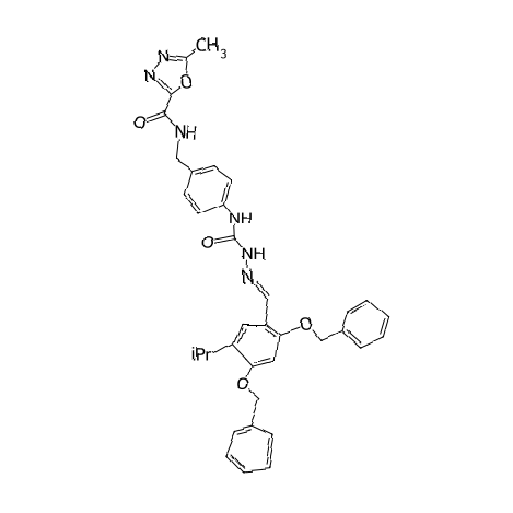 Cc1nnc(C(=O)NCc2ccc(NC(=O)NN=Cc3cc(C(C)C)c(OCc4ccccc4)cc3OCc3ccccc3)cc2)o1